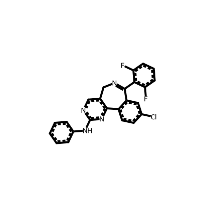 Fc1cccc(F)c1C1=NCc2cnc(Nc3ccccc3)nc2-c2ccc(Cl)cc21